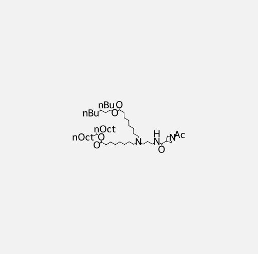 CCCCCCCCC(CCCCCCCC)OC(=O)CCCCCCCN(CCCCCCCC(=O)OCCC(CCCC)CCCC)CCCNC(=O)C1CN(C(C)=O)C1